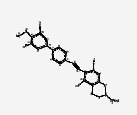 CCCCCC1CCc2c(cc(F)c(C#Cc3ccc(-c4cc(F)c(SC#N)c(F)c4)cc3)c2F)C1